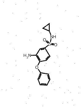 Nc1cc(S(=O)(=O)NC2CC2)ccc1Oc1ccccc1